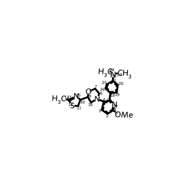 COc1ccc(N2CCOC(C3CSC(C)=N3)C2)c(-c2ccc(N(C)C)cc2)n1